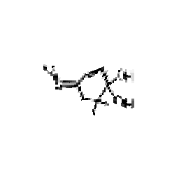 CC1(C)CC(=S=O)C=CC1(O)O